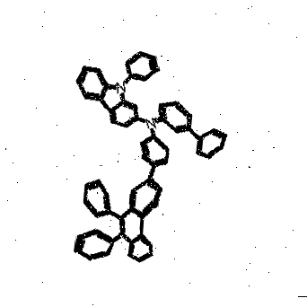 c1ccc(-c2cccc(N(c3ccc(-c4ccc5c(c4)c(-c4ccccc4)c(-c4ccccc4)c4ccccc45)cc3)c3ccc4c5ccccc5n(-c5ccccc5)c4c3)c2)cc1